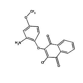 Nc1cc(OC(F)(F)F)ccc1OC1=C(Cl)C(=O)c2ccccc2C1=O